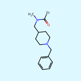 CCC(=O)N(C)CC1CCN(Cc2ccccc2)CC1